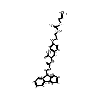 C=CCOC(=O)NCCOc1ccc(CC(NC(=O)OCC2c3ccccc3-c3ccccc32)C(=O)O)cc1